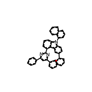 c1ccc(-c2ccc3c(c2)c2c(-c4nc(-c5ccccc5)cc(-c5ccccc5)n4)cccc2n3-c2cccc3ccccc23)cc1